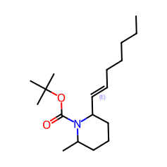 CCCCC/C=C/C1CCCC(C)N1C(=O)OC(C)(C)C